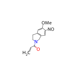 C=CC(=O)N1CCc2cc(OC)c(N=O)cc2C1